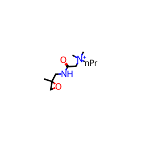 CCC[N+](C)(C)CC(=O)NCC1(C)CO1